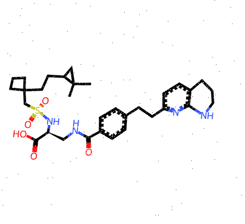 CC1(C)CC1CCC1(CS(=O)(=O)N[C@@H](CNC(=O)c2ccc(CCc3ccc4c(n3)NCCC4)cc2)C(=O)O)CCC1